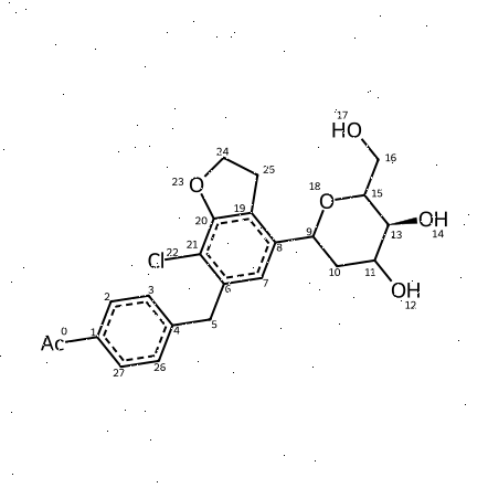 CC(=O)c1ccc(Cc2cc(C3CC(O)[C@H](O)C(CO)O3)c3c(c2Cl)OCC3)cc1